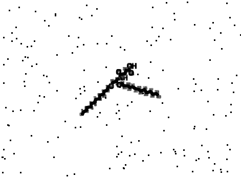 CCCCCCCCCCCCCCOCC(CNC(=O)CCC(=O)O)OCCCCCCCCCCCCCC